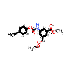 C#Cc1ccc(OC(=O)Nc2cc(COOC)cc(C(=O)OC)c2)cc1